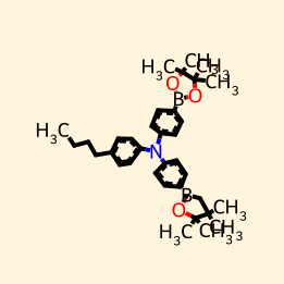 CCCCc1ccc(N(c2ccc(B3CC(C)(C)C(C)(C)O3)cc2)c2ccc(B3OC(C)(C)C(C)(C)O3)cc2)cc1